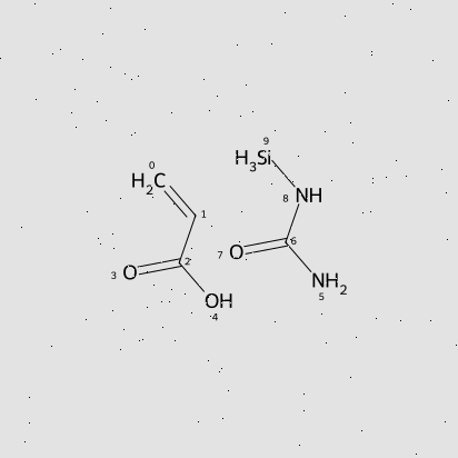 C=CC(=O)O.NC(=O)N[SiH3]